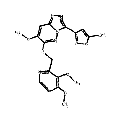 COc1cc2nnc(-c3cc(C)on3)n2nc1OCc1nccc(OC)c1OC